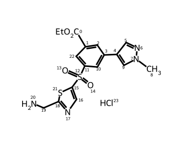 CCOC(=O)c1cc(-c2cnn(C)c2)cc(S(=O)(=O)c2cnc(CN)s2)c1.Cl